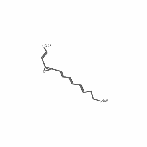 CCCCCCCCCCCC=CC=CC=CC1=C(C=CC(=O)O)O1